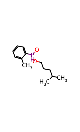 Cc1ccccc1[PH](=O)OCCCC(C)C